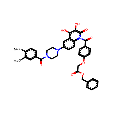 COc1ccc(C(=O)N2CCN(c3ccc4c(c3)c(O)c(O)c(=O)n4C(=O)c3ccc(OCC(=O)OCc4ccccc4)cc3)CC2)cc1OC